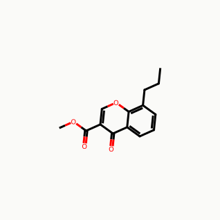 CCCc1cccc2c(=O)c(C(=O)OC)coc12